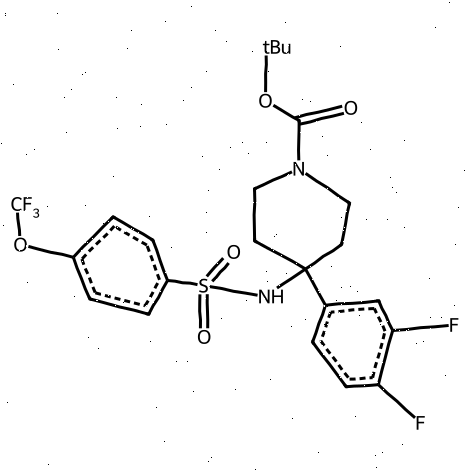 CC(C)(C)OC(=O)N1CCC(NS(=O)(=O)c2ccc(OC(F)(F)F)cc2)(c2ccc(F)c(F)c2)CC1